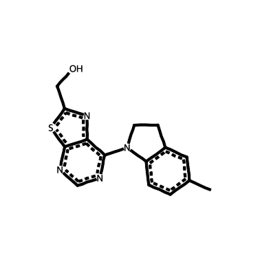 Cc1ccc2c(c1)CCN2c1ncnc2sc(CO)nc12